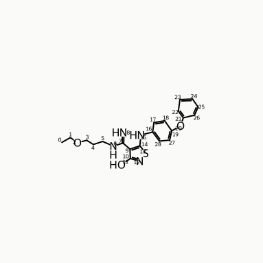 CCOCCCNC(=N)c1c(O)nsc1Nc1ccc(Oc2ccccc2)cc1